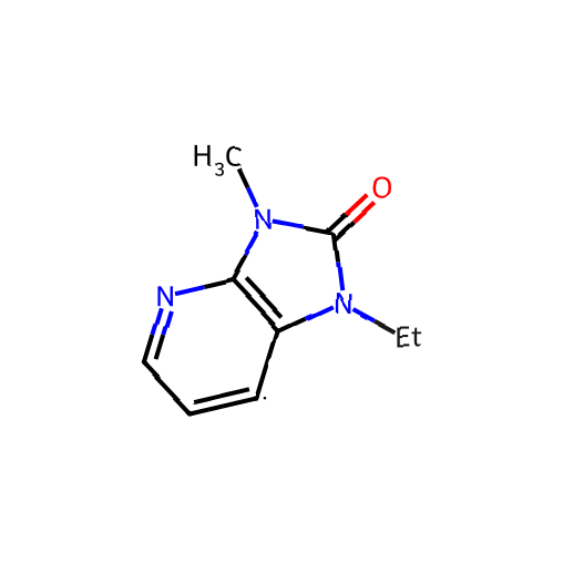 CCn1c(=O)n(C)c2ncc[c]c21